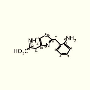 Nc1ccccc1Cc1nc(CC(N)C(=O)O)cs1